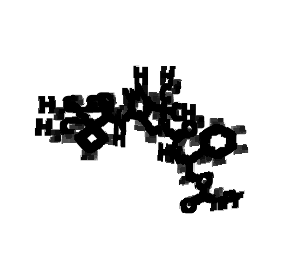 CCCC(=O)OCC(NC(=O)N1Cc2c(NC(=O)C3(S(C)(C)C)CCC3)n[nH]c2C1(C)C)c1ccccc1